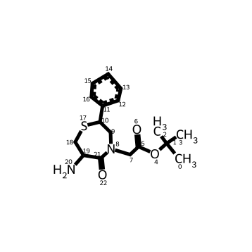 CC(C)(C)OC(=O)CN1CC(c2ccccc2)SCC(N)C1=O